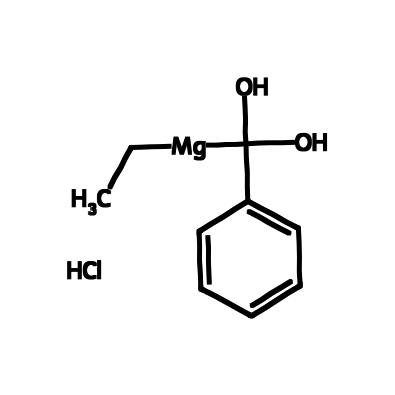 C[CH2][Mg][C](O)(O)c1ccccc1.Cl